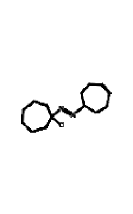 ClC1(/N=N/C2CCCCCC2)CCCCCC1